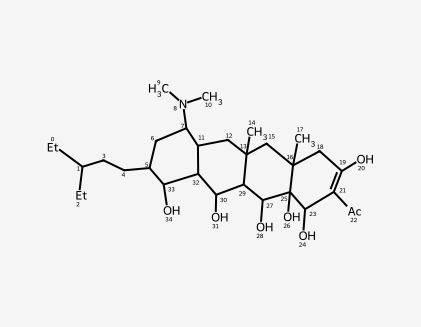 CCC(CC)CCC1CC(N(C)C)C2CC3(C)CC4(C)CC(O)=C(C(C)=O)C(O)C4(O)C(O)C3C(O)C2C1O